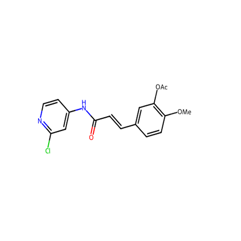 COc1ccc(C=CC(=O)Nc2ccnc(Cl)c2)cc1OC(C)=O